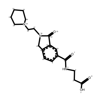 O=C(O)CCNC(=O)c1ccc2c(c1)C(=O)N(CCN1CCCCC1)C2